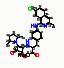 COC(=O)C(Cc1ccc(Nc2nc(C)cc3ccc(Cl)cc23)cc1)Nc1c(N2C(C)CCC2C)c(=O)c1=O